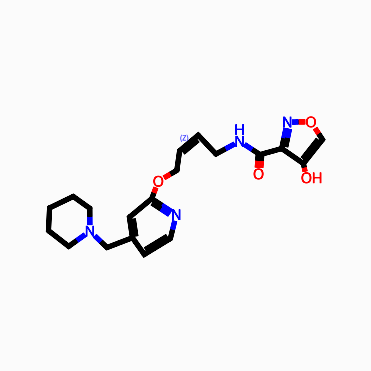 O=C(NC/C=C\COc1cc(CN2CCCCC2)ccn1)c1nocc1O